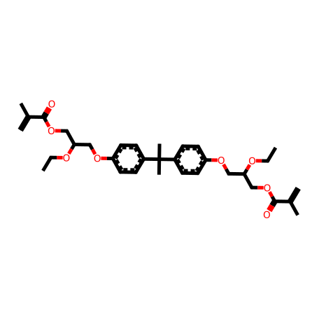 C=C(C)C(=O)OCC(COc1ccc(C(C)(C)c2ccc(OCC(COC(=O)C(=C)C)OCC)cc2)cc1)OCC